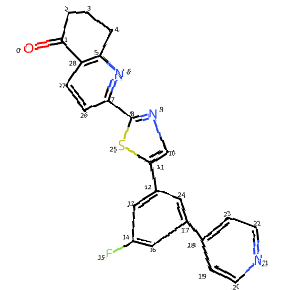 O=C1CCCc2nc(-c3ncc(-c4cc(F)cc(-c5ccncc5)c4)s3)ccc21